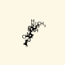 CSCCC(NC(=O)c1ccc(OCC2CC2)c(Cl)n1)C(N)=O